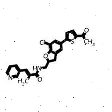 CC(=O)c1ccc(-c2cc(Cl)c3c(c2)CC(CNC(=O)C(C)=Cc2cccnc2)O3)s1